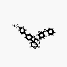 Cc1ncc(-c2ccc(C3(C(=O)Nc4ccc(Oc5ccccc5)cc4)CCOCC3)cc2)cn1